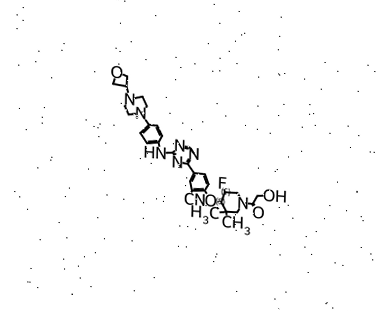 CC1(C)CN(C(=O)CO)C[C@H](F)[C@H]1Oc1ccc(-c2ncnc(Nc3ccc(N4CCN(C5COC5)CC4)cc3)n2)cc1C#N